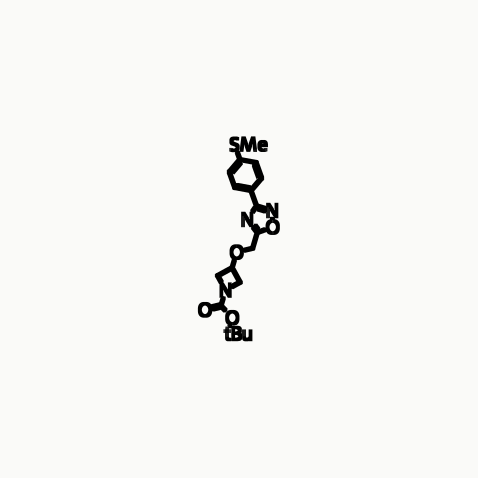 CSc1ccc(-c2noc(COC3CN(C(=O)OC(C)(C)C)C3)n2)cc1